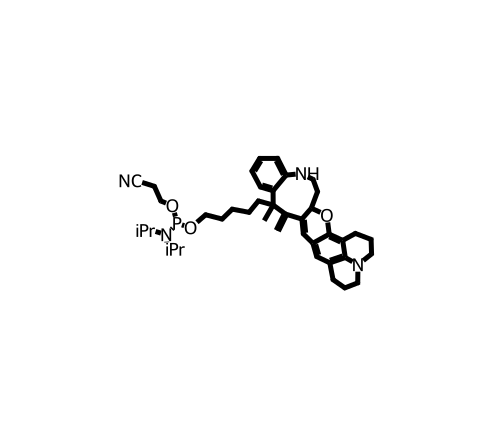 C=C1C2=Cc3cc4c5c(c3OC2CCNc2ccccc2C1(C)CCCCCOP(OCCC#N)N(C(C)C)C(C)C)CCCN5CCC4